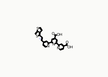 O=C(O)c1ccnc(-c2cc(C(=O)O)cc(-c3cc(/C=C/c4scc5sccc45)ccn3)n2)c1